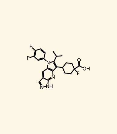 CC(C)c1c(C2CCC(F)(C(=O)O)CC2)c2nc3[nH]ncc3cc2n1-c1ccc(F)c(F)c1